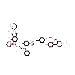 CC1(C)CCC(c2ccc(Cl)cc2)=C(CN2CCN(c3ccc(C(=O)NS(=O)(=O)c4ccc(N[C@H](CCN5CC6CC(C5)N6Cc5ccc6c(c5F)C(=O)N(C5CCC(=O)NC5=O)C6=O)CSc5ccccc5)c(S(=O)(=O)C(F)(F)F)c4)cc3)CC2)C1